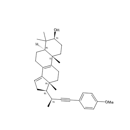 COc1ccc(C#C[C@@H](C)[C@H]2CC=C3C4=C(CC[C@@]32C)[C@@]2(C)CC[C@H](O)C(C)(C)[C@@H]2CC4)cc1